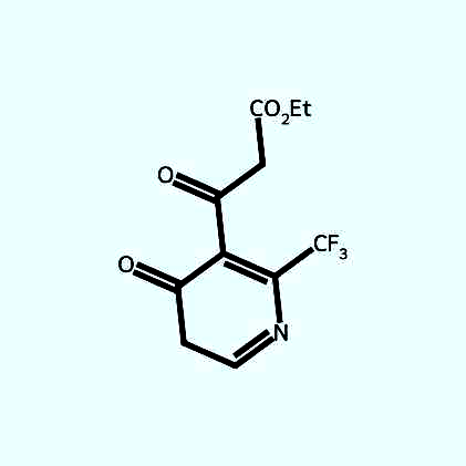 CCOC(=O)CC(=O)C1=C(C(F)(F)F)N=CCC1=O